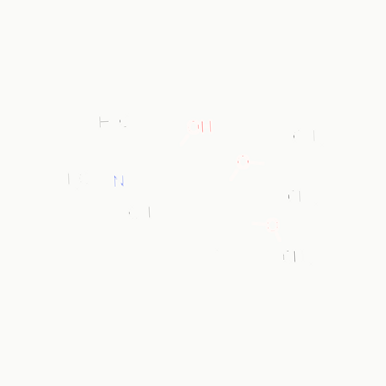 COc1cccc(C(O)C(C)N(C)C)c1OC(C)C